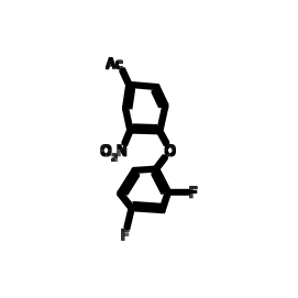 CC(=O)c1ccc(Oc2ccc(F)cc2F)c([N+](=O)[O-])c1